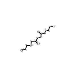 ClCCSCC(Cl)CCC(Cl)CSCCCl